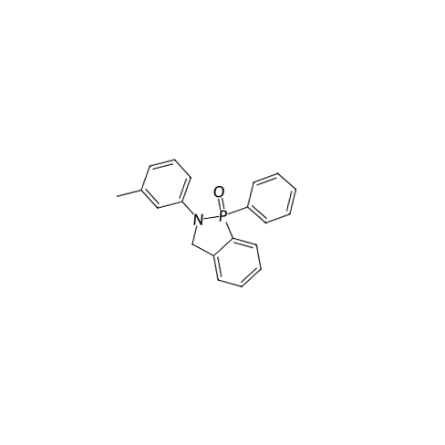 Cc1cccc(N2Cc3ccccc3P2(=O)c2ccccc2)c1